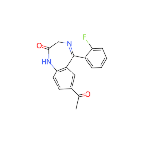 CC(=O)c1ccc2c(c1)C(c1ccccc1F)=NCC(=O)N2